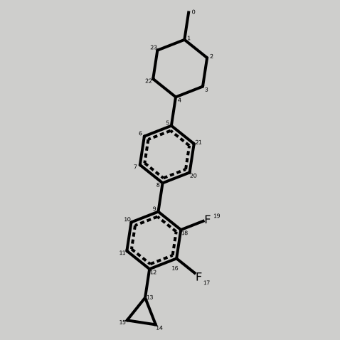 CC1CCC(c2ccc(-c3ccc(C4CC4)c(F)c3F)cc2)CC1